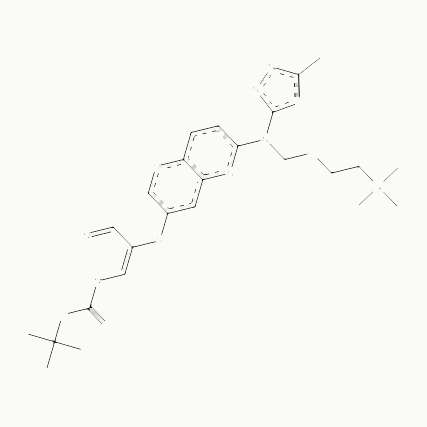 Cc1nnc(N(COCC[Si](C)(C)C)c2ccc3ncc(N/C(C=N)=C/NC(=O)OC(C)(C)C)cc3n2)s1